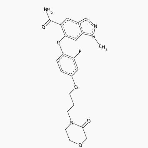 Cn1ncc2cc(C(N)=O)c(Oc3ccc(OCCCN4CCOCC4=O)cc3F)cc21